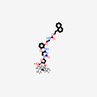 CC(C)(C)[Si](C)(C)O[C@@H]1C[C@H](n2cc3c(nc2=O)Nc2c(OCCNC(=O)OCCc4cccc5ccccc45)cccc2O3)O[C@@H]1CO